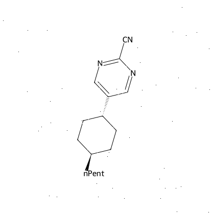 CCCCC[C@H]1CC[C@H](c2cnc(C#N)nc2)CC1